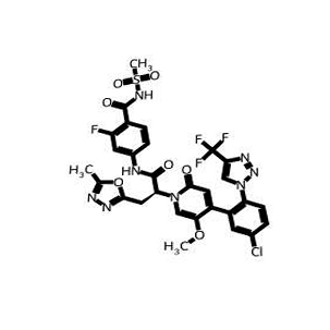 COc1cn([C@@H](Cc2nnc(C)o2)C(=O)Nc2ccc(C(=O)NS(C)(=O)=O)c(F)c2)c(=O)cc1-c1cc(Cl)ccc1-n1cc(C(F)(F)F)nn1